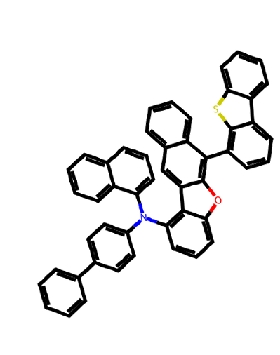 c1ccc(-c2ccc(N(c3cccc4ccccc34)c3cccc4oc5c(-c6cccc7c6sc6ccccc67)c6ccccc6cc5c34)cc2)cc1